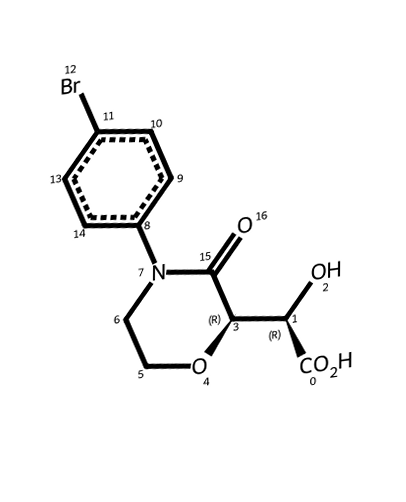 O=C(O)[C@H](O)[C@H]1OCCN(c2ccc(Br)cc2)C1=O